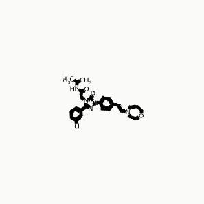 CC(C)NC(=O)Cn1c(-c2cccc(Cl)c2)nn(-c2ccc(CCN3CCCOCC3)cc2)c1=O